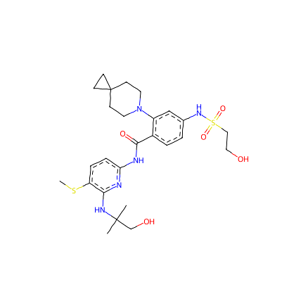 CSc1ccc(NC(=O)c2ccc(NS(=O)(=O)CCO)cc2N2CCC3(CC2)CC3)nc1NC(C)(C)CO